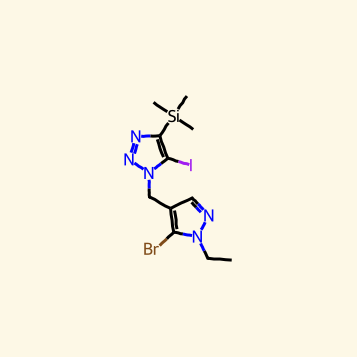 CCn1ncc(Cn2nnc([Si](C)(C)C)c2I)c1Br